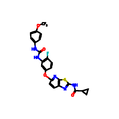 O=C(Nc1ccc(OC(F)(F)F)cc1)Nc1cc(Oc2ccc3nc(NC(=O)C4CC4)sc3n2)ccc1F